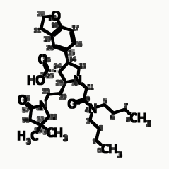 CCCCN(CCCC)C(=O)CN1C[C@H](c2ccc3c(c2)CCO3)[C@@H](C(=O)O)[C@@H]1CCN1CC(C)(C)CC1=O